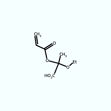 C=CC(=O)OC(C)(OCC)C(=O)O